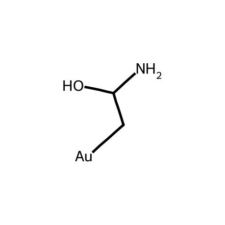 NC(O)[CH2][Au]